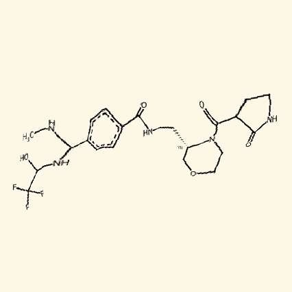 CNC(NC(O)C(F)(F)F)c1ccc(C(=O)NC[C@H]2COCCN2C(=O)C2CCNC2=O)cc1